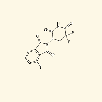 O=C1NC(=O)C(F)(F)CC1N1C(=O)c2cccc(F)c2C1=O